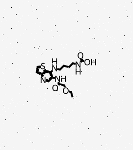 CCOCC(=O)Nc1cnc2ccsc2c1NCCCCNC(=O)O